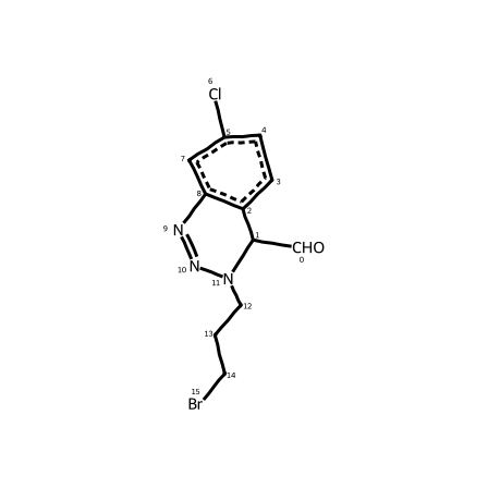 O=CC1c2ccc(Cl)cc2N=NN1CCCBr